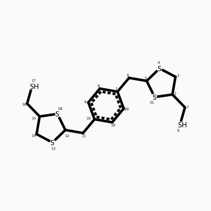 SCC1CSC(Cc2ccc(CC3SCC(CS)S3)cc2)S1